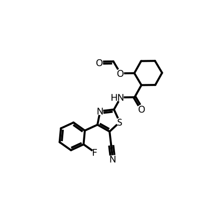 N#Cc1sc(NC(=O)C2CCCCC2OC=O)nc1-c1ccccc1F